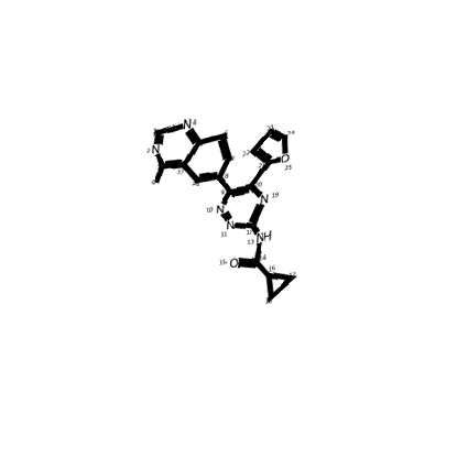 Cc1ncnc2ccc(-c3nnc(NC(=O)C4CC4)nc3-c3ccco3)cc12